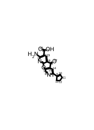 Nc1nc2oc3cnc(C4=CCCC4)cc3c(=O)c2cc1C(=O)O